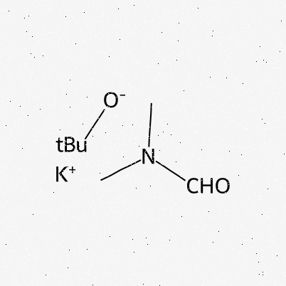 CC(C)(C)[O-].CN(C)C=O.[K+]